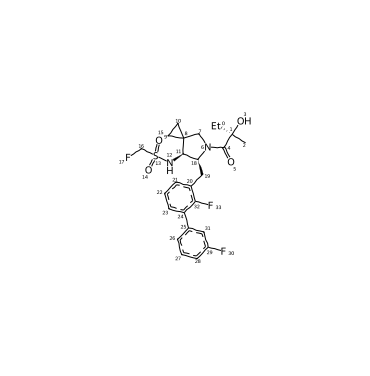 CC[C@@](C)(O)C(=O)N1CC2(CC2)[C@H](NS(=O)(=O)CF)[C@@H]1Cc1cccc(-c2cccc(F)c2)c1F